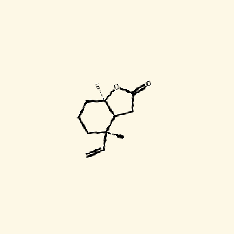 C=C[C@]1(C)CCC[C@@]2(C)OC(=O)CC21